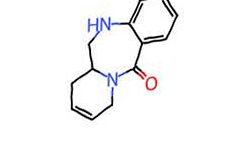 O=C1c2ccccc2NCC2CC=CCN12